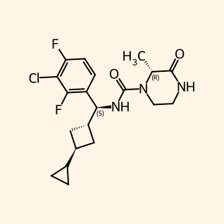 C[C@@H]1C(=O)NCCN1C(=O)N[C@H](c1ccc(F)c(Cl)c1F)[C@H]1C[C@H](C2CC2)C1